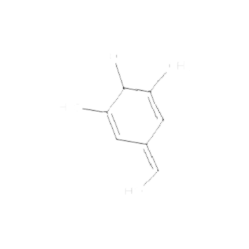 CC1=CC(=CO)C=C(C)C1O